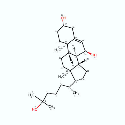 C[C@H](CCCC(C)(C)O)[C@H]1CC[C@H]2[C@@H]3[C@H](O)C=C4CC(O)CC[C@]4(C)[C@H]3CC[C@]12C